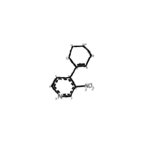 O=[N+]([O-])c1cnccc1C1=CCCCC1